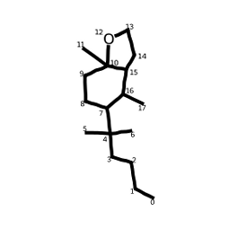 CCCCC(C)(C)C1CCC2(C)OCCC2C1C